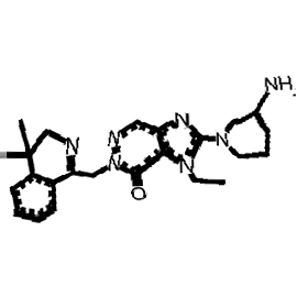 CCn1c(N2CCCC(N)C2)nc2cnn(CC3=NCC(C)(C)c4ccccc43)c(=O)c21